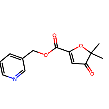 CC1(C)OC(C(=O)OCc2cccnc2)=CC1=O